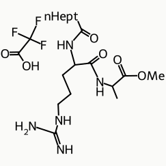 CCCCCCCC(=O)NC(CCCNC(=N)N)C(=O)NC(C)C(=O)OC.O=C(O)C(F)(F)F